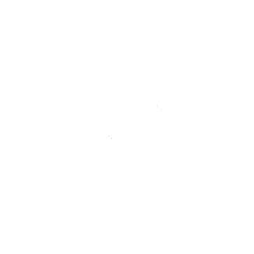 CCC(C)Nc1cc2c(cc1O)CCN(C(=O)OC(C)(C)C)CC2